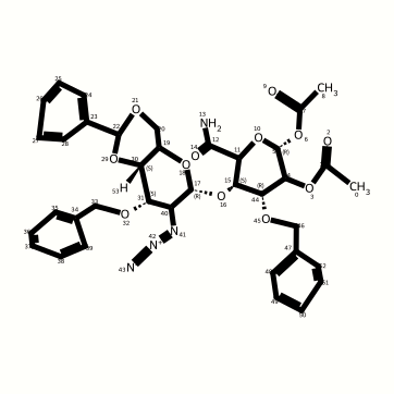 CC(=O)OC1[C@@H](OC(C)=O)OC(C(N)=O)[C@@H](O[C@H]2OC3COC(c4ccccc4)O[C@H]3[C@@H](OCc3ccccc3)C2N=[N+]=[N-])[C@H]1OCc1ccccc1